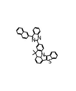 CC1(C)c2cc(-c3nc(-c4ccc5ccccc5c4)c4ccccc4n3)ccc2N2c3c(sc4ccccc34)C3=CC=CC1C32